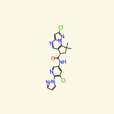 CC1(C)C[C@@H](C(=O)Nc2cnc(-n3cccn3)c(Cl)c2)c2cnc3cc(Cl)nn3c21